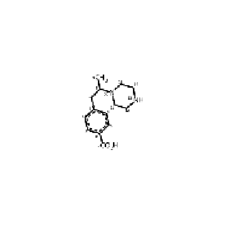 CC(Cc1ccc(C(=O)O)cc1)N1CCNCC1